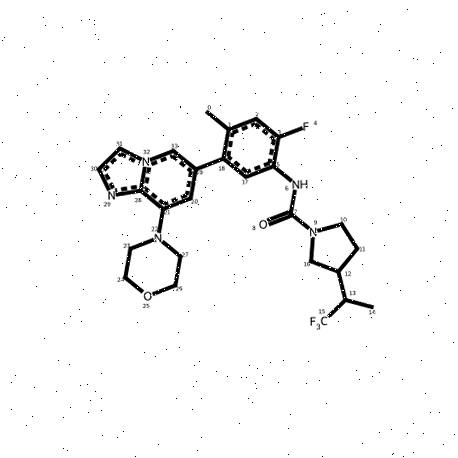 Cc1cc(F)c(NC(=O)N2CCC(C(C)C(F)(F)F)C2)cc1-c1cc(N2CCOCC2)c2nccn2c1